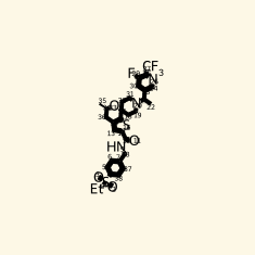 CCS(=O)(=O)c1ccc(CNC(=O)c2cc3c(s2)C2(CCN(C(C)c4cnc(C(F)(F)F)c(F)c4)CC2)O[C@H](C)C3)cc1